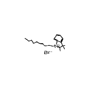 CCCCCCCCCC[N+]1=C(C)C(C)(C)c2ccccc21.[Br-]